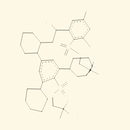 CC(C)c1cc(C(C)C)c(S(=O)(=O)OCC(F)(F)C(=O)O)c(C(C)CC2CCCCC2c2cc(C3CCCCC3)c(S(=O)(=O)OCC(F)(F)C(=O)O)c(C3CCCCC3)c2)c1